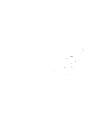 O=CCCCCO[C@@H]1OC(CN2C=C(c3ccccc3)NN2)[C@H](O)C(O)C1O